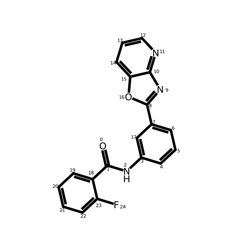 O=C(Nc1cccc(-c2nc3ncccc3o2)c1)c1ccccc1F